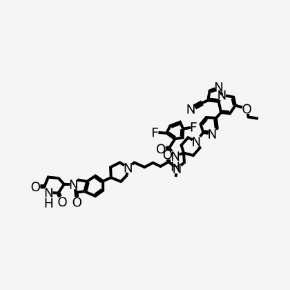 CCOc1cc(-c2ccc(N3CCC(CN(C)C(=O)CCCCN4CCC(c5ccc6c(c5)CN(C5CCC(=O)NC5=O)C6=O)CC4)(NC(=O)c4cc(F)ccc4F)CC3)nc2)c2c(C#N)cnn2c1